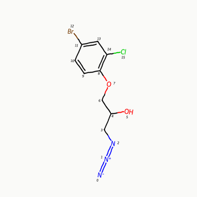 [N-]=[N+]=NCC(O)COc1ccc(Br)cc1Cl